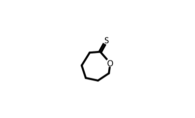 S=C1CCCCCO1